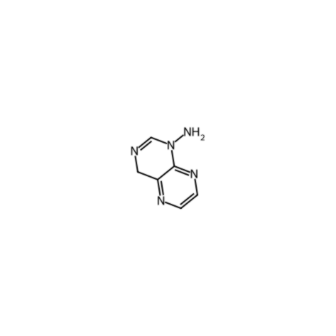 NN1C=NCc2nccnc21